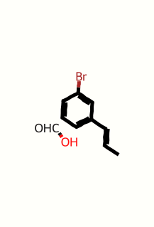 CC=Cc1cccc(Br)c1.O=CO